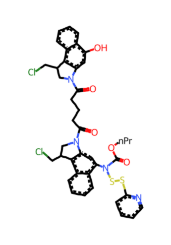 CCCOC(=O)N(SSc1ccccn1)c1cc2c(c3ccccc13)C(CCl)CN2C(=O)CCCC(=O)N1CC(CCl)c2c1cc(O)c1ccccc21